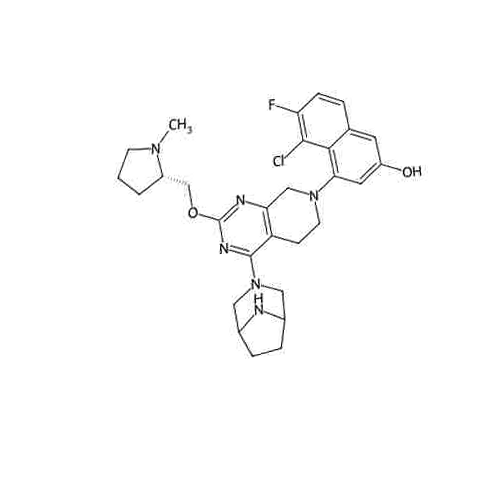 CN1CCC[C@H]1COc1nc2c(c(N3CC4CCC(C3)N4)n1)CCN(c1cc(O)cc3ccc(F)c(Cl)c13)C2